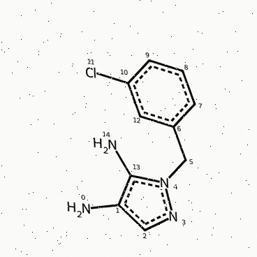 Nc1cnn(Cc2cccc(Cl)c2)c1N